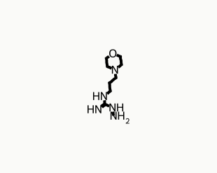 N=C(NN)NCCCN1CCOCC1